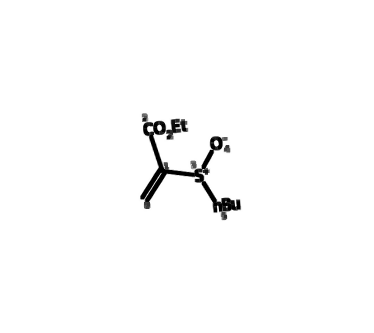 C=C(C(=O)OCC)[S+]([O-])CCCC